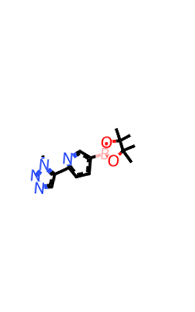 Cn1nncc1-c1ccc(B2OC(C)(C)C(C)(C)O2)cn1